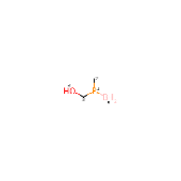 BP(C)CO